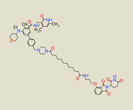 CCN(c1cc(-c2ccc(CN3CCN(C(=O)CCCCCCCCCCC(=O)NCCCOc4cccc5c4C(=O)N(C4CCC(=O)NC4=O)C5=O)CC3)cc2)cc(C(=O)NCc2c(C)cc(C)[nH]c2=O)c1C)C1CCOCC1